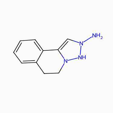 NN1C=C2c3ccccc3CCN2N1